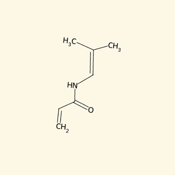 C=CC(=O)NC=C(C)C